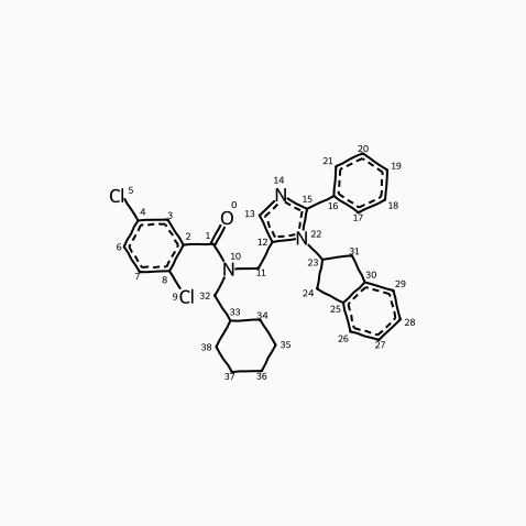 O=C(c1cc(Cl)ccc1Cl)N(Cc1cnc(-c2ccccc2)n1C1Cc2ccccc2C1)CC1CCCCC1